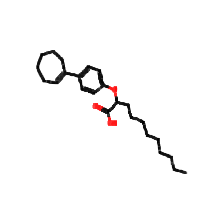 CCCCCCCCCC(Oc1ccc(C2=CCCCCC2)cc1)C(=O)O